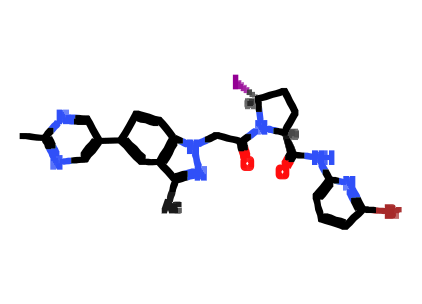 CC(=O)c1nn(CC(=O)N2[C@H](I)CC[C@H]2C(=O)Nc2cccc(Br)n2)c2ccc(-c3cnc(C)nc3)cc12